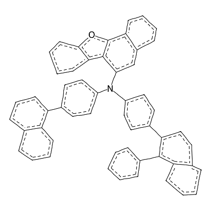 c1ccc(-c2c(-c3ccc(N(c4ccc(-c5cccc6ccccc56)cc4)c4cc5ccccc5c5oc6ccccc6c45)cc3)ccc3ccccc23)cc1